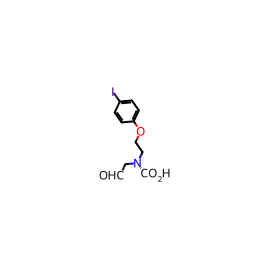 O=CCN(CCOc1ccc(I)cc1)C(=O)O